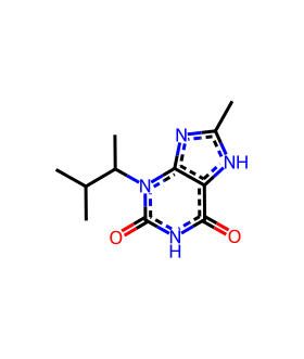 Cc1nc2c([nH]1)c(=O)[nH]c(=O)n2C(C)C(C)C